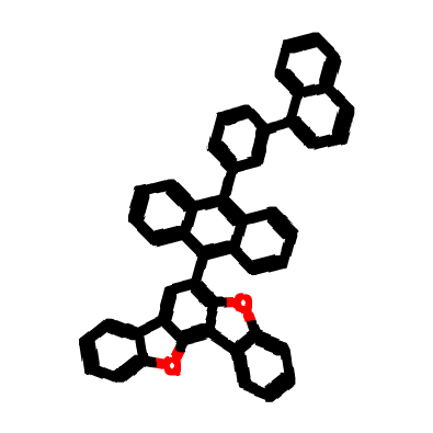 c1cc(-c2cccc3ccccc23)cc(-c2c3ccccc3c(-c3cc4c5ccccc5oc4c4c3oc3ccccc34)c3ccccc23)c1